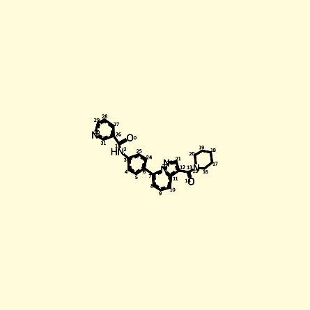 O=C(Nc1ccc(-c2cccc3c(C(=O)N4CCCCC4)cnn23)cc1)c1cccnc1